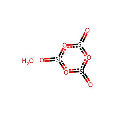 O.O=[si]1o[si](=O)o[si](=O)o1